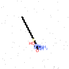 CCCCCCCCCCCCCCCCCCSCC(O)Cn1cnc2c(=O)[nH]c(N)nc21